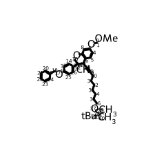 COCOc1ccc2c(c1)OCC(C)(c1ccc(OCc3ccccc3)cc1)C2C#CCCCCCCCO[Si](C)(C)C(C)(C)C